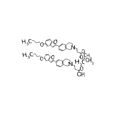 CCCCOc1ccc2oc(-c3ccc4c(c3)CCN(CCC(=O)O)C4)cc2c1.CCCCOc1ccc2oc(-c3ccc4c(c3)CCN(CCC(=O)OC(C)(C)C)C4)cc2c1